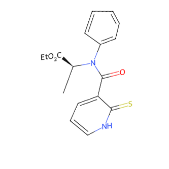 CCOC(=O)[C@H](C)N(C(=O)c1ccc[nH]c1=S)c1ccccc1